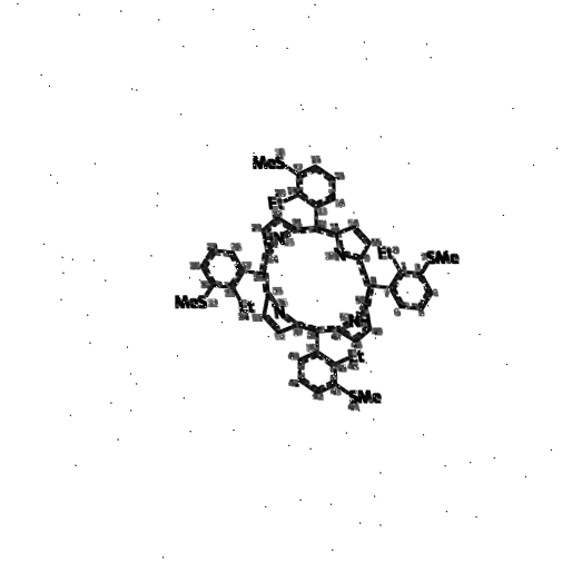 CCc1c(SC)cccc1-c1c2nc(c(-c3cccc(SC)c3CC)c3ccc([nH]3)c(-c3cccc(SC)c3CC)c3nc(c(-c4cccc(SC)c4CC)c4ccc1[nH]4)C=C3)C=C2